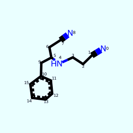 N#CCCNC(CC#N)Cc1ccccc1